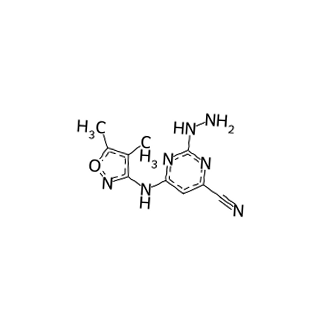 Cc1onc(Nc2cc(C#N)nc(NN)n2)c1C